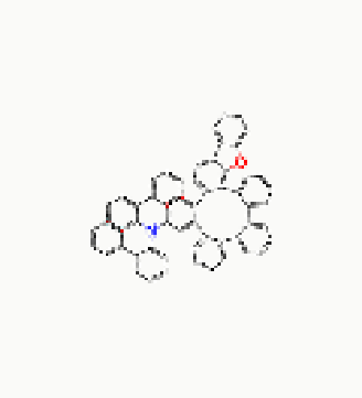 c1ccc(-c2ccccc2N(c2ccc3c(c2)c2ccccc2c2ccccc2c2ccccc2c2c3ccc3c4ccccc4oc32)c2ccccc2-c2ccccc2)cc1